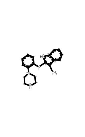 Cc1c(Sc2ccccc2N2CCNCC2)[nH]c2ccccc12